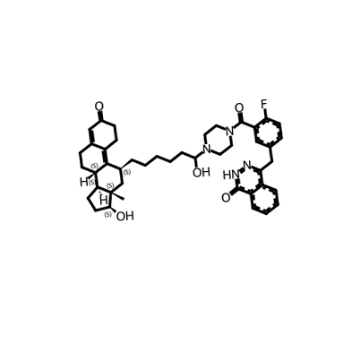 C[C@]12C[C@H](CCCCCC(O)N3CCN(C(=O)c4cc(Cc5n[nH]c(=O)c6ccccc56)ccc4F)CC3)C3=C4CCC(=O)C=C4CC[C@H]3[C@@H]1CC[C@@H]2O